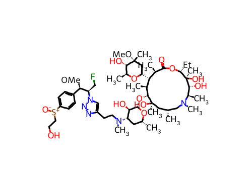 CC[C@H]1OC(=O)[C@H](C)[C@@H](C2C[C@@](C)(OC)[C@@H](O)[C@H](C)O2)[C@H](C)[C@@H](O[C@@H]2O[C@H](C)C[C@H](N(C)CCc3cn([C@H](CF)[C@H](OC)c4ccc([S+]([O-])CCO)cc4)nn3)[C@H]2O)[C@](C)(O)C[C@@H](C)CN(C)[C@H](C)[C@@H](O)[C@]1(C)O